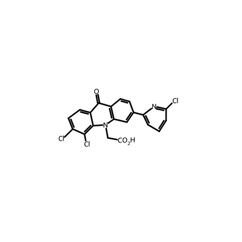 O=C(O)Cn1c2cc(-c3cccc(Cl)n3)ccc2c(=O)c2ccc(Cl)c(Cl)c21